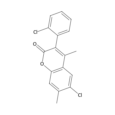 Cc1cc2oc(=O)c(-c3ccccc3Cl)c(C)c2cc1Cl